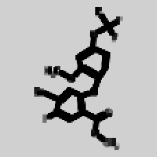 COC(=O)c1cc(F)c(Br)cc1Oc1ccc(OC(F)(F)F)cc1OC